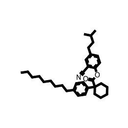 CCCCCCCCCc1ccc(C2(C(=O)Oc3ccc(CCC(C)C)cc3C#N)CCCCC2)cc1